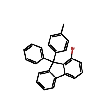 Cc1ccc(C2(c3ccccc3)c3ccccc3-c3cccc(Br)c32)cc1